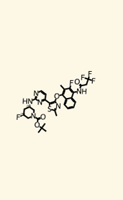 Cc1nc(Oc2c(C)c(F)c(NC(=O)CC(F)(F)F)c3ccccc23)c(-c2ccnc(N[C@H]3C[C@H](F)CN(C(=O)OC(C)(C)C)C3)n2)s1